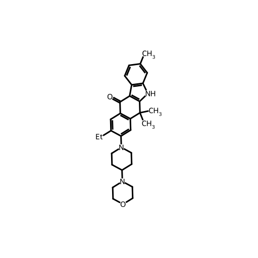 CCc1cc2c(cc1N1CCC(N3CCOCC3)CC1)C(C)(C)c1[nH]c3cc(C)ccc3c1C2=O